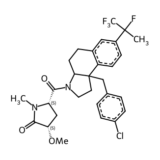 CO[C@H]1C[C@@H](C(=O)N2CCC3(Cc4ccc(Cl)cc4)c4ccc(C(C)(F)C(F)(F)F)cc4CCC23)N(C)C1=O